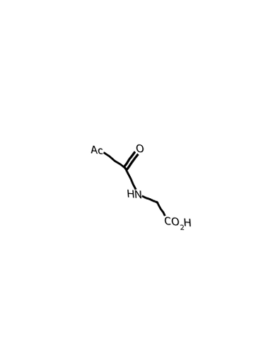 CC(=O)C(=O)NCC(=O)O